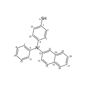 Sc1ccc(N(c2ccccc2)c2ccc3ccccc3c2)cc1